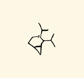 CC(C)C1C2CC2CCN1C(C)C